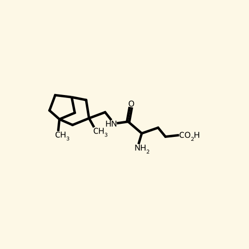 CC12CCC(C1)CC(C)(CNC(=O)C(N)CCC(=O)O)C2